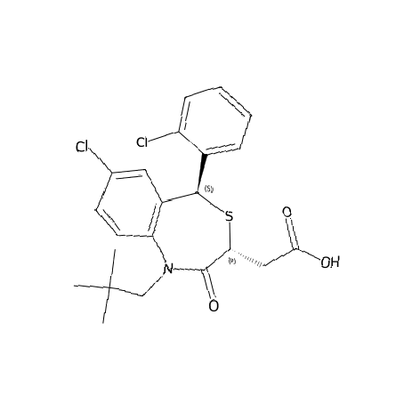 CC(C)(C)CN1C(=O)[C@@H](CC(=O)O)S[C@H](c2ccccc2Cl)c2cc(Cl)ccc21